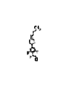 CCCCC[SiH]1CCC(c2cc(F)c(C(F)=CCl)c(F)c2)CC1